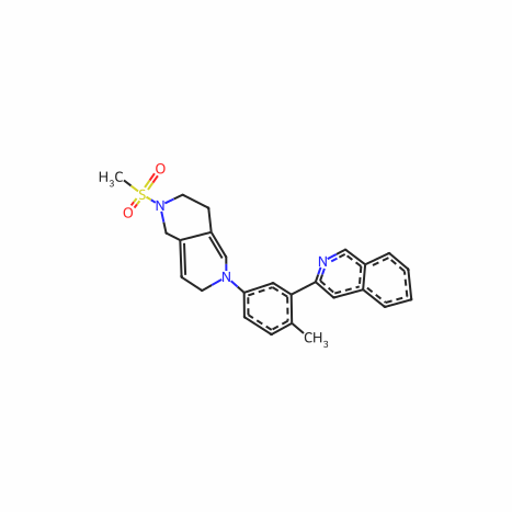 Cc1ccc(N2C=C3CCN(S(C)(=O)=O)CC3=CC2)cc1-c1cc2ccccc2cn1